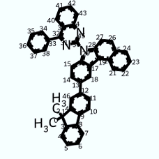 CC1(C)c2ccccc2-c2ccc(-c3ccc4c(c3)c3c5ccccc5ccc3n4-c3nc(-c4ccccc4)c4ccccc4n3)cc21